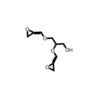 OCC(COC=C1CO1)OC=C1CO1